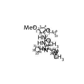 COCc1ccc(OCC2CC2)c(CNC(=O)Nc2c(C)c(-c3cnn(C)c3)nn2-c2ccccc2)c1